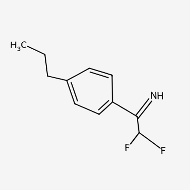 CCCc1ccc(C(=N)C(F)F)cc1